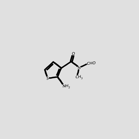 CN(C=O)C(=O)c1ccsc1N